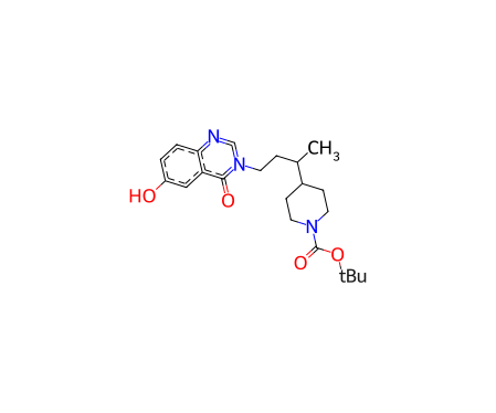 CC(CCn1cnc2ccc(O)cc2c1=O)C1CCN(C(=O)OC(C)(C)C)CC1